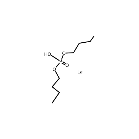 CCCCOP(=O)(O)OCCCC.[La]